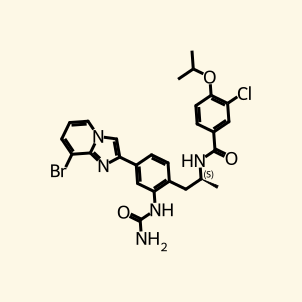 CC(C)Oc1ccc(C(=O)N[C@@H](C)Cc2ccc(-c3cn4cccc(Br)c4n3)cc2NC(N)=O)cc1Cl